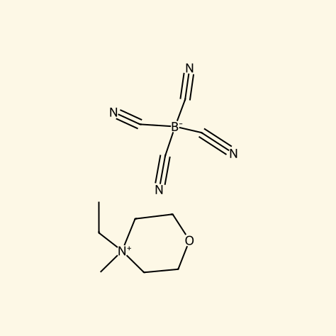 CC[N+]1(C)CCOCC1.N#C[B-](C#N)(C#N)C#N